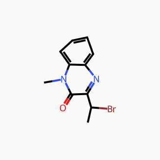 CC(Br)c1nc2ccccc2n(C)c1=O